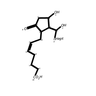 CCCCCCCC(O)C1C(O)CC(=O)C1C/C=C\CCCC(=O)O